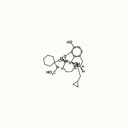 CC1(N(C(=O)O)[C@H]2CC[C@@]3(O)[C@H]4Cc5ccc(O)c6c5[C@@]3(CCN4CC3CC3)[C@H]2O6)CCCCC1